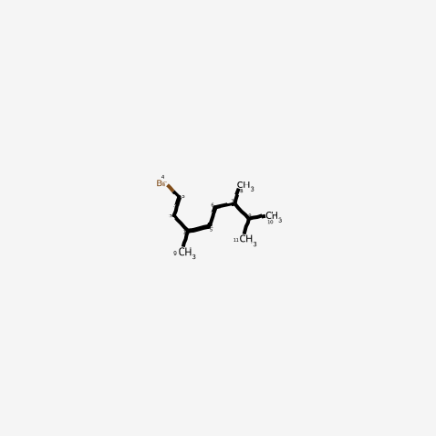 CC(CCBr)CCC(C)C(C)C